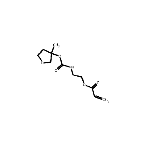 C=CC(=O)OCCNC(=O)OC1(C)CCOC1